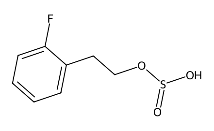 O=S(O)OCCc1ccccc1F